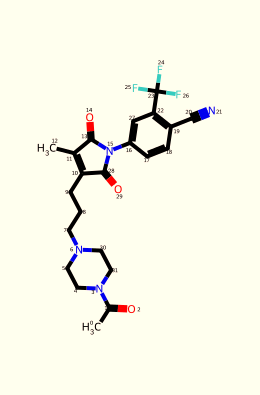 CC(=O)N1CCN(CCCC2=C(C)C(=O)N(c3ccc(C#N)c(C(F)(F)F)c3)C2=O)CC1